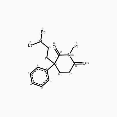 CCN(CC)CCC1(c2ccccc2)CCC(=O)N(C(C)C)C1=O